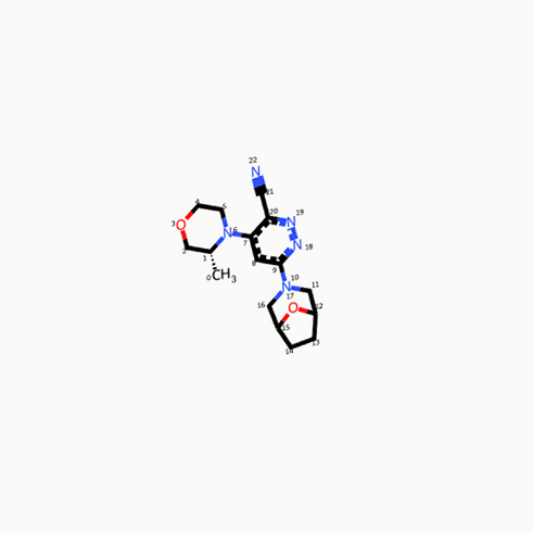 C[C@@H]1COCCN1c1cc(N2CC3CCC(C2)O3)nnc1C#N